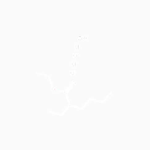 CCCCC(CC)C(=O)OCC.[Cl-].[Cl-].[Cl-].[Cl-].[Zr+4]